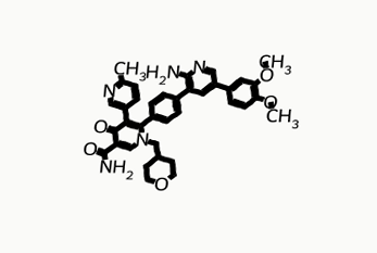 COc1ccc(-c2cnc(N)c(-c3ccc(-c4c(-c5ccc(C)nc5)c(=O)c(C(N)=O)cn4CC4CCOCC4)cc3)c2)cc1OC